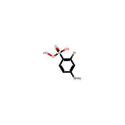 CC(=O)Nc1ccc([As](=O)(O)OO)c(Br)c1